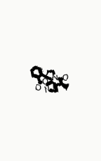 O=C1O[C@]2(CCN(C(=O)C3(c4ccncc4)CC3)C2)c2ccccc21